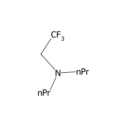 CCCN(CCC)CC(F)(F)F